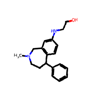 CN1CCC(c2ccccc2)c2ccc(NCCO)cc2C1